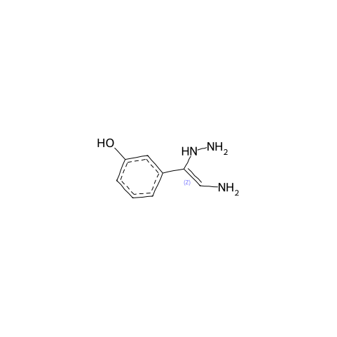 N/C=C(\NN)c1cccc(O)c1